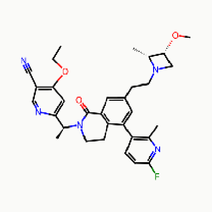 CCOc1cc([C@H](C)N2CCc3c(cc(CCN4C[C@@H](OC)[C@H]4C)cc3-c3ccc(F)nc3C)C2=O)ncc1C#N